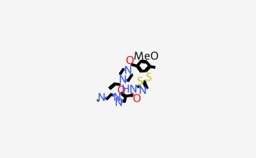 C=CC(=O)N1CCN(C(=O)c2cc(Sc3cnc(NC(=O)c4cnn(CCN(C)C)c4)s3)c(C)cc2OC)CC1